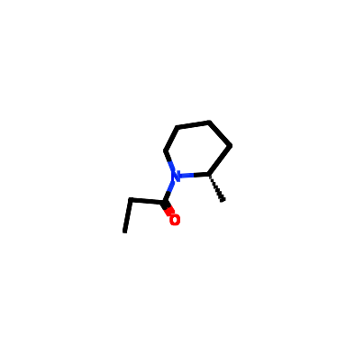 CCC(=O)N1CCCC[C@@H]1C